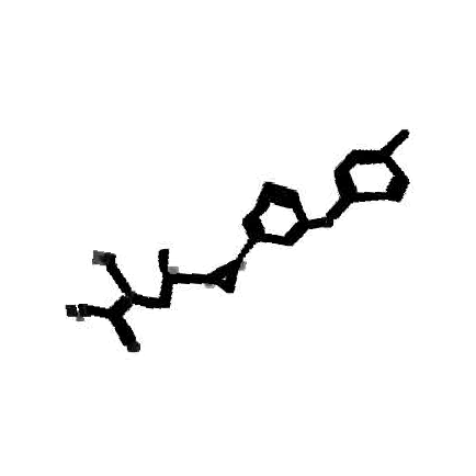 Cc1ccc(Oc2cccc([C@@H]3C[C@H]3[C@H](C)CN(O)C(N)=O)c2)cc1